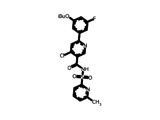 Cc1cccc(S(=O)(=O)NC(=O)c2cnc(-c3cc(F)cc(OCC(C)C)c3)cc2Cl)n1